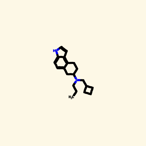 CCCN(CC1CCC1)C1CCc2c(ccc3[nH]ccc23)C1